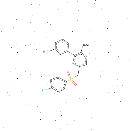 COc1ccc(CS(=O)(=O)c2ccc(F)cc2)cc1-c1cccc(C)c1